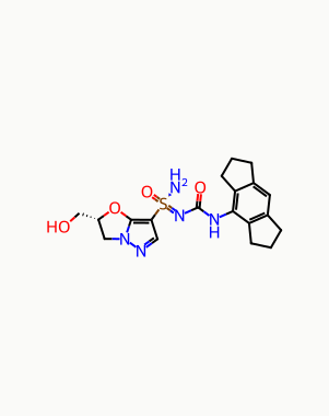 N[S@](=O)(=NC(=O)Nc1c2c(cc3c1CCC3)CCC2)c1cnn2c1O[C@@H](CO)C2